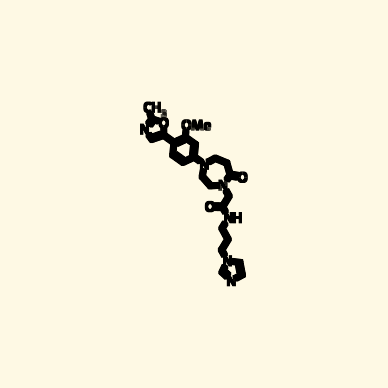 COc1cc(N2CCC(=O)N(CC(=O)NCCCn3ccnc3)CC2)ccc1-c1cnc(C)o1